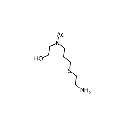 CC(=O)N(CCO)CCCSCCN